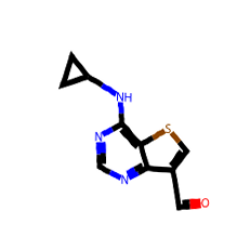 O=Cc1csc2c(NC3CC3)ncnc12